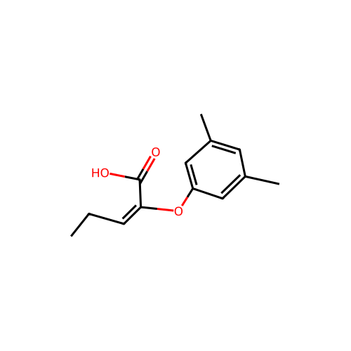 CC/C=C(/Oc1cc(C)cc(C)c1)C(=O)O